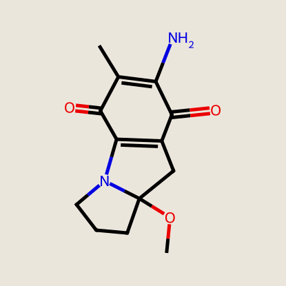 COC12CCCN1C1=C(C2)C(=O)C(N)=C(C)C1=O